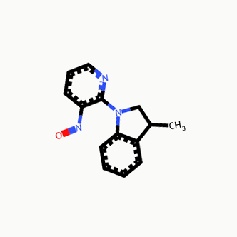 CC1CN(c2ncccc2N=O)c2ccccc21